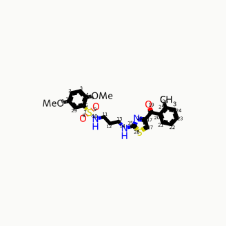 COc1ccc(OC)c(S(=O)(=O)NCCCNc2nc(C(=O)c3ccccc3C)cs2)c1